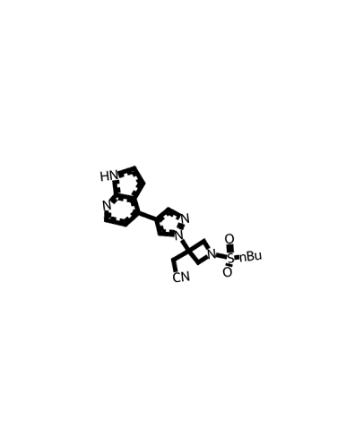 CCCCS(=O)(=O)N1CC(CC#N)(n2cc(-c3ccnc4[nH]ccc34)cn2)C1